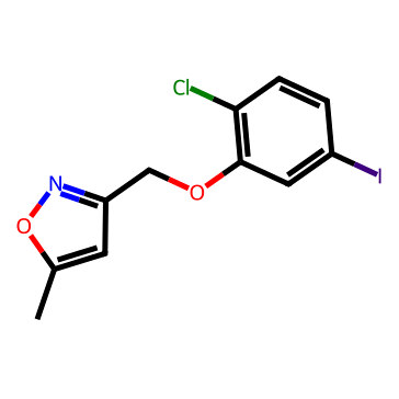 Cc1cc(COc2cc(I)ccc2Cl)no1